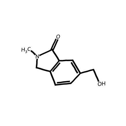 CN1Cc2ccc(CO)cc2C1=O